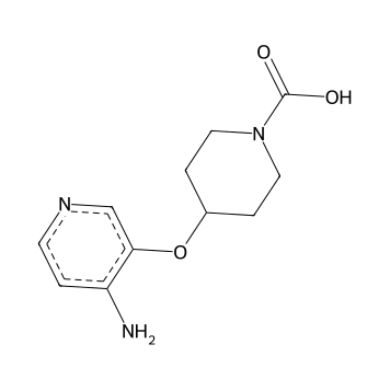 Nc1ccncc1OC1CCN(C(=O)O)CC1